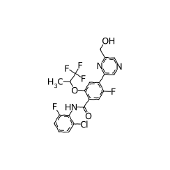 CC(Oc1cc(-c2cncc(CO)n2)c(F)cc1C(=O)Nc1c(F)cccc1Cl)C(F)(F)F